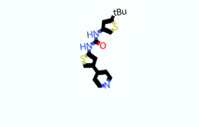 CC(C)(C)c1cc(NC(=O)Nc2cc(-c3ccncc3)cs2)cs1